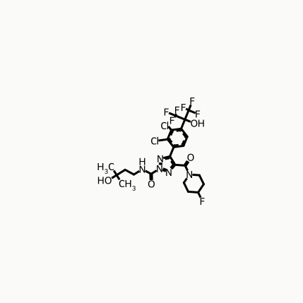 CC(C)(O)CCNC(=O)n1nc(C(=O)N2CCC(F)CC2)c(-c2ccc(C(O)(C(F)(F)F)C(F)(F)F)c(Cl)c2Cl)n1